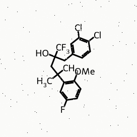 COc1ccc(F)cc1C(C)(C)CC(O)(Cc1ccc(Cl)c(Cl)c1)C(F)(F)F